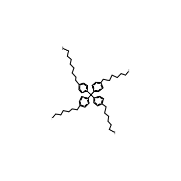 ICCCCCCCCc1ccc(C(c2ccc(CCCCCCI)cc2)(c2ccc(CCCCCCI)cc2)c2ccc(CCCCCCI)cc2)cc1